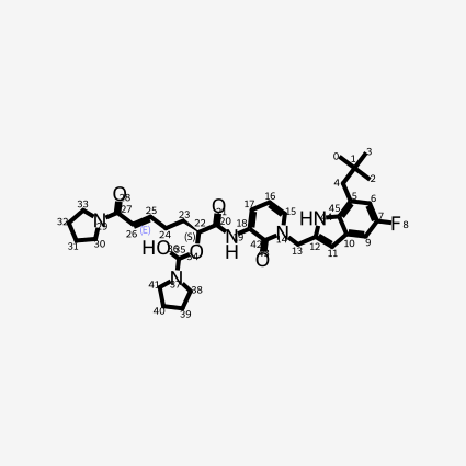 CC(C)(C)Cc1cc(F)cc2cc(Cn3cccc(NC(=O)[C@H](CC/C=C/C(=O)N4CCCC4)OC(O)N4CCCC4)c3=O)[nH]c12